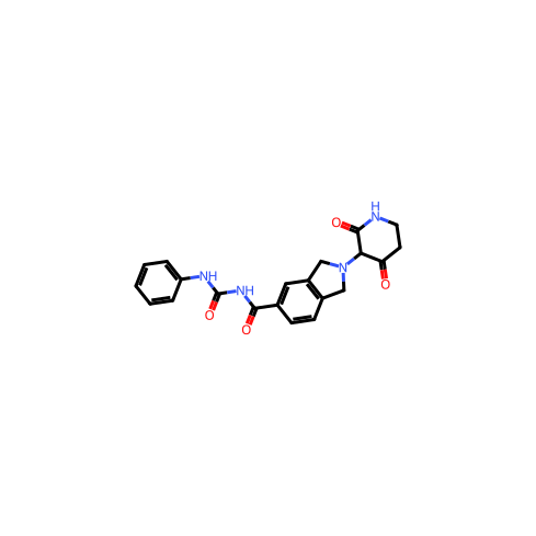 O=C(NC(=O)c1ccc2c(c1)CN(C1C(=O)CCNC1=O)C2)Nc1ccccc1